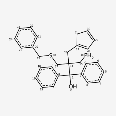 OC(c1ccccc1)(c1ccccc1)C(CP)(CSCc1ccccc1)CC1=CC=CC1